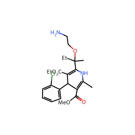 CCOC(=O)C1=C(C(C)(CC)OCCN)NC(C)=C(C(=O)OC)C1c1ccccc1Cl